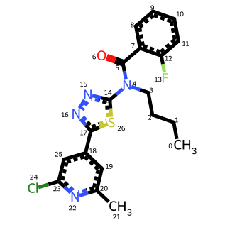 CCCCN(C(=O)c1ccccc1F)c1nnc(-c2cc(C)nc(Cl)c2)s1